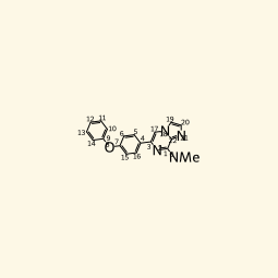 CNc1nc(-c2ccc(Oc3ccccc3)cc2)cn2ccnc12